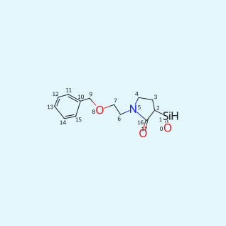 O=[SiH]C1CCN(CCOCc2ccccc2)C1=O